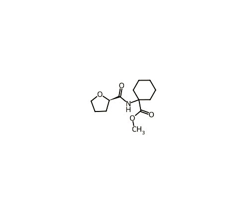 COC(=O)C1(NC(=O)[C@H]2CCCO2)CCCCC1